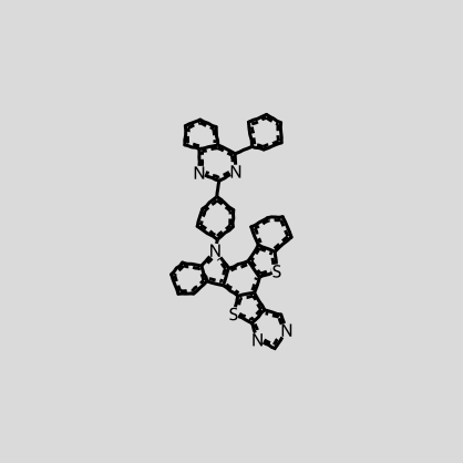 c1ccc(-c2nc(-c3ccc(-n4c5ccccc5c5c6sc7ncncc7c6c6sc7ccccc7c6c54)cc3)nc3ccccc23)cc1